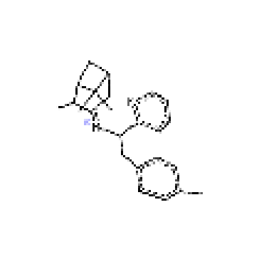 Cc1ccc(CC(/N=C2\CC3CC(C2C)C3(C)C)c2ccccn2)cc1